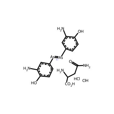 Cl.Cl.NC(=O)CC(N)C(=O)O.Nc1cc(/[As]=[As]/c2ccc(O)c(N)c2)ccc1O